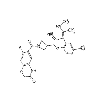 CN/C(C)=C(\C=N)c1cc(Cl)ccc1OCC1CN(C(=O)c2cc3c(cc2F)OCC(=O)N3)C1